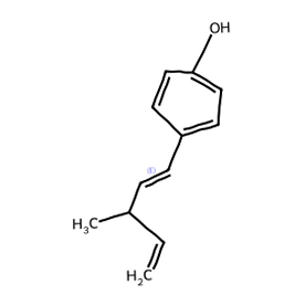 C=CC(C)/C=C/c1ccc(O)cc1